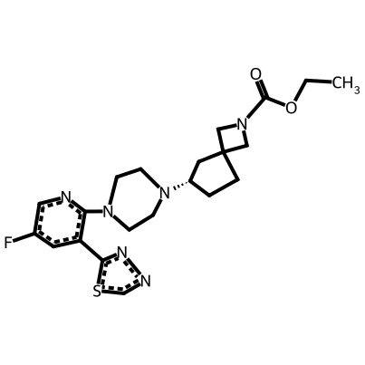 CCOC(=O)N1CC2(CC[C@H](N3CCN(c4ncc(F)cc4-c4nncs4)CC3)C2)C1